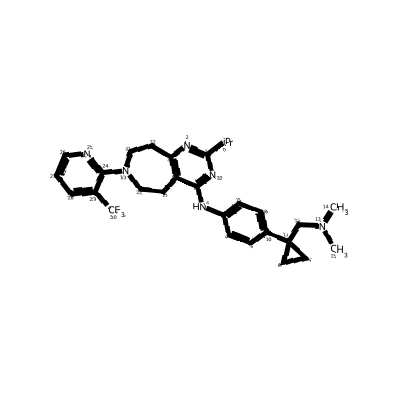 CC(C)c1nc2c(c(Nc3ccc(C4(CN(C)C)CC4)cc3)n1)CCN(c1ncccc1C(F)(F)F)CC2